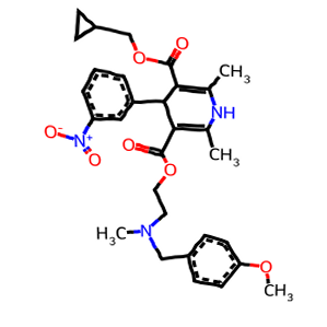 COc1ccc(CN(C)CCOC(=O)C2=C(C)NC(C)=C(C(=O)OCC3CC3)C2c2cccc([N+](=O)[O-])c2)cc1